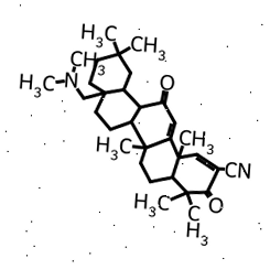 CN(C)CC12CCC3C(C(=O)C=C4C5(C)C=C(C#N)C(=O)C(C)(C)C5CCC43C)C1CC(C)(C)CC2